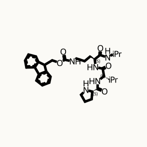 CC(C)NC(=O)[C@H](CCCNC(=O)OCC1c2ccccc2-c2ccccc21)NC(=O)[C@@H](NC(=O)[C@@H]1CCCN1)C(C)C